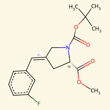 COC(=O)[C@@H]1C/C(=C\c2cccc(F)c2)CN1C(=O)OC(C)(C)C